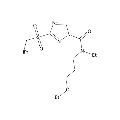 CCOCCCN(CC)C(=O)n1cnc(S(=O)(=O)CC(C)C)n1